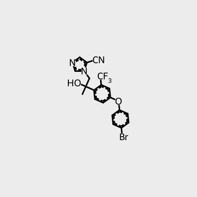 CC(O)(Cn1cncc1C#N)c1ccc(Oc2ccc(Br)cc2)cc1C(F)(F)F